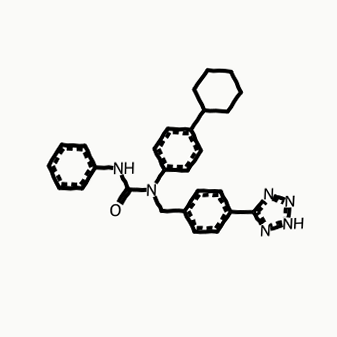 O=C(Nc1ccccc1)N(Cc1ccc(-c2nn[nH]n2)cc1)c1ccc(C2CCCCC2)cc1